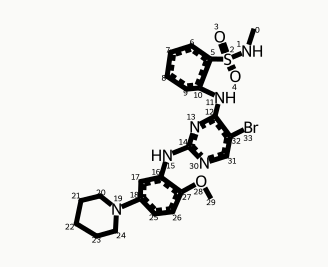 CNS(=O)(=O)c1ccccc1Nc1nc(Nc2cc(N3CCCCC3)ccc2OC)ncc1Br